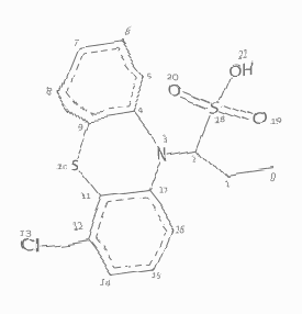 CCC(N1c2ccccc2Sc2c(Cl)cccc21)S(=O)(=O)O